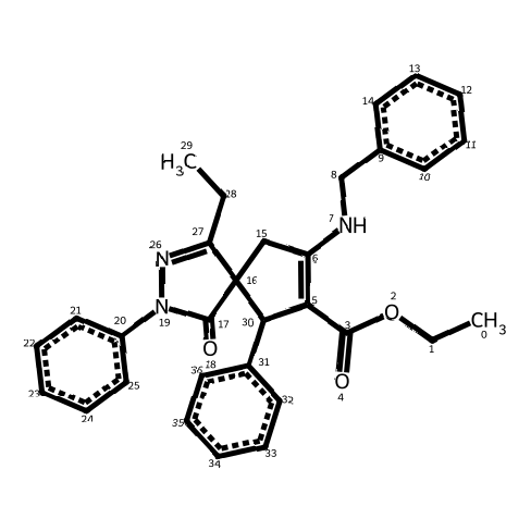 CCOC(=O)C1=C(NCc2ccccc2)CC2(C(=O)N(c3ccccc3)N=C2CC)C1c1ccccc1